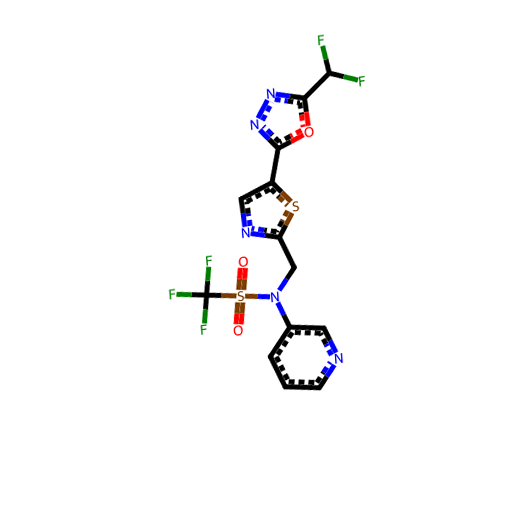 O=S(=O)(N(Cc1ncc(-c2nnc(C(F)F)o2)s1)c1cccnc1)C(F)(F)F